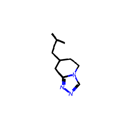 CC(C)CC1CCn2cnnc2C1